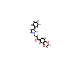 O=C(CCN1CCC(c2ccc(F)cc2)C1)c1ccc2c(c1)OCCO2